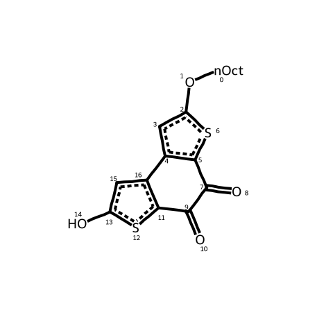 CCCCCCCCOc1cc2c(s1)C(=O)C(=O)c1sc(O)cc1-2